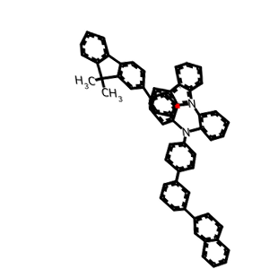 CC1(C)c2ccccc2-c2ccc(-c3ccc(N(c4ccc(-c5cccc(-c6ccc7ccccc7c6)c5)cc4)c4ccccc4-n4c5ccccc5c5ccccc54)cc3)cc21